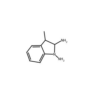 CC1c2ccccc2N(N)C1N